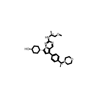 COC[C@H](C)Nc1ncc2c(-c3ccc([C@H](C)N4CCOCC4)cc3)cc([C@H]3CC[C@H](O)CC3)n2n1